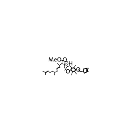 COC(=O)C(C(C)C=CCC(C)CCC=C(C)C)C(O)CC1(C)CCc2c(C)c(OCc3ccccc3)c(C)c(C)c2O1